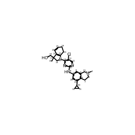 CN1CCc2c(cc(Nc3ncc(Cl)c(N4CC(C)(CO)C5=C4CCC=C5)n3)cc2C2CC2)C1